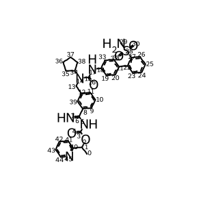 CC(OC(=O)NC(=N)c1cccc(CN(C(=O)Nc2ccc(-c3ccccc3S(N)(=O)=O)cc2)C2CCCC2)c1)c1ccccn1